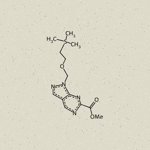 COC(=O)c1ncc2cnn(COCCS(C)(C)C)c2n1